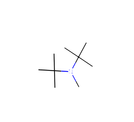 [CH2]N(C(C)(C)C)C(C)(C)C